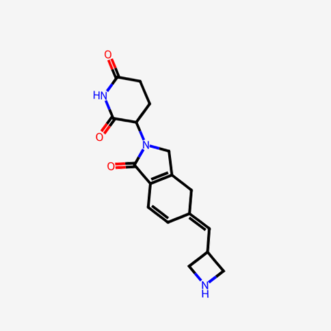 O=C1CCC(N2CC3=C(C=CC(=CC4CNC4)C3)C2=O)C(=O)N1